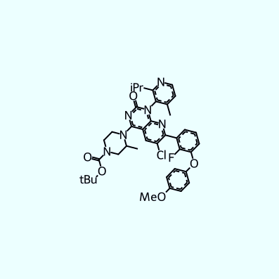 COc1ccc(Oc2cccc(-c3nc4c(cc3Cl)c(N3CCN(C(=O)OC(C)(C)C)CC3C)nc(=O)n4-c3c(C)ccnc3C(C)C)c2F)cc1